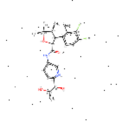 COc1c([C@H]2C(C(=O)Nc3ccc([C@@H](O)[C@@H](C)O)nc3)O[C@@](C)(C(F)(F)F)[C@H]2C)ccc(F)c1F